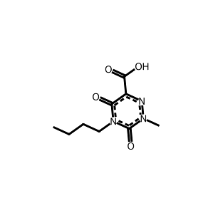 CCCCn1c(=O)c(C(=O)O)nn(C)c1=O